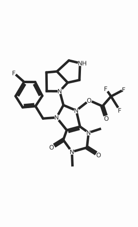 Cn1c2c(c(=O)n(C)c1=O)N(Cc1ccc(F)cc1)C(N1CCC3CNCC31)N2OC(=O)C(F)(F)F